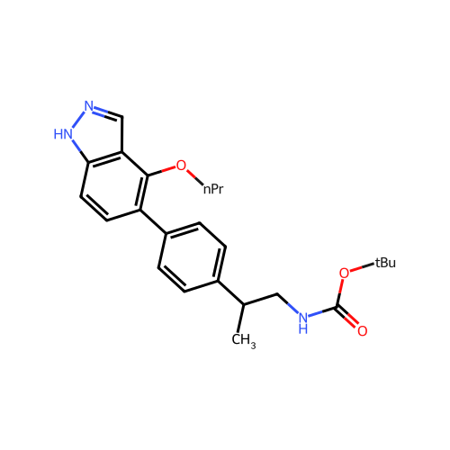 CCCOc1c(-c2ccc(C(C)CNC(=O)OC(C)(C)C)cc2)ccc2[nH]ncc12